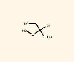 O=C(O)C(O)(CO)OO